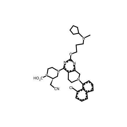 CN(CCCOc1nc2c(c(N3CCN(C(=O)O)[C@H](CC#N)C3)n1)CCN(c1cccc3cccc(Cl)c13)C2)C1CCCC1